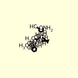 C#CCCC(NC(=O)[C@@H]1[C@@H]2[C@H](CN1C(=O)[C@@H](NC(=O)NC1(CS(=O)(=O)C(C)(C)C)CCCCC1)C(C)(C)C)C21CC1)C(=O)C(N)=O